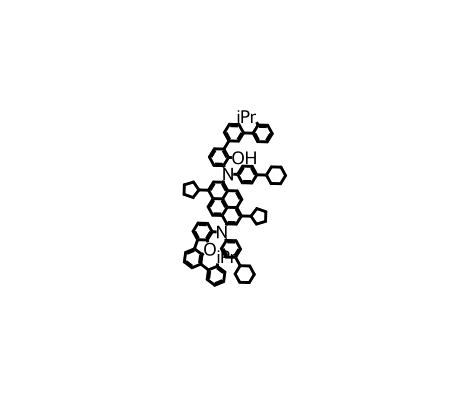 CC(C)c1ccccc1-c1cccc(-c2cccc(N(c3ccc(C4CCCCC4)cc3)c3cc(C4CCCC4)c4ccc5c(N(c6ccc(C7CCCCC7)cc6)c6cccc7c6oc6c(-c8ccccc8C(C)C)cccc67)cc(C6CCCC6)c6ccc3c4c65)c2O)c1